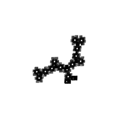 N#Cc1ccc(-c2cc(-c3ccc(-n4c5ccccc5c5cc(-c6ccc(-n7c8ccccc8c8ccccc87)cc6)ccc54)cc3)nc(-c3ccc(-n4c5ccccc5c5cc(-c6ccc(-n7c8ccccc8c8ccccc87)cc6)ccc54)cc3)c2)cc1C#N